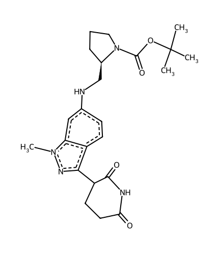 Cn1nc(C2CCC(=O)NC2=O)c2ccc(NC[C@H]3CCCN3C(=O)OC(C)(C)C)cc21